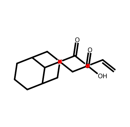 C=COC(=O)N1CC2CCCC(C1)C2CCC(=O)O